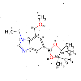 CCn1cnc2cc(B3OC(C)(C)C(C)(C)O3)cc(COC)c21